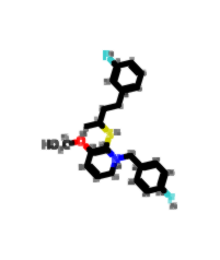 CC(CCc1cccc(F)c1)SC1=C(OC(=O)O)C=CCN1Cc1ccc(F)cc1